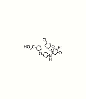 CCn1c(=O)cc(Nc2ccc(Oc3cccc(C(=O)O)c3)cc2)n(Cc2ccc(Cl)cc2)c1=O